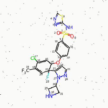 O=S(=O)(Nc1nncs1)c1ccc(OC2C=C(Cl)C(C(F)(F)F)=CC2(F)c2ccnn2C2CNC2)cc1